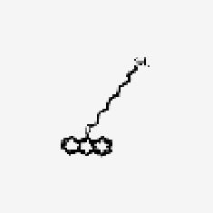 NCCCCCCCCCOc1c2ccccc2cc2ccccc12